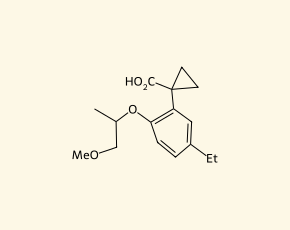 CCc1ccc(OC(C)COC)c(C2(C(=O)O)CC2)c1